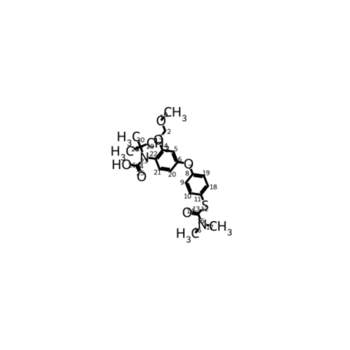 COCOc1cc(Oc2ccc(SC(=O)N(C)C)cc2)ccc1N(C(=O)O)C(C)(C)C